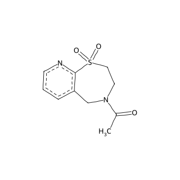 CC(=O)N1CCS(=O)(=O)c2ncccc2C1